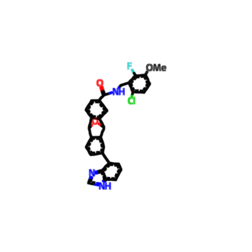 COc1ccc(Cl)c(CNC(=O)c2ccc3c(c2)C2OC3c3ccc(-c4cccc5[nH]cnc45)cc32)c1F